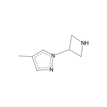 Cc1cnn(C2CNC2)c1